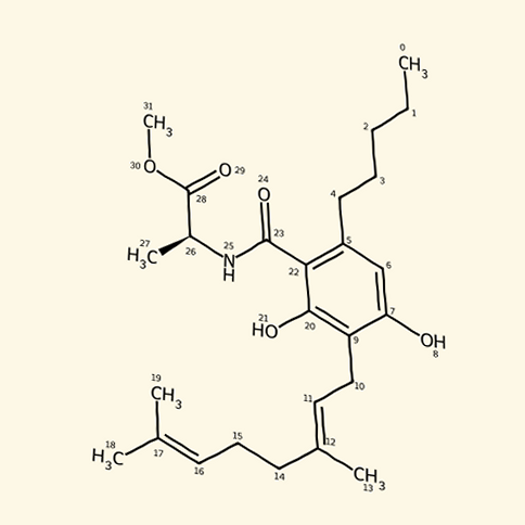 CCCCCc1cc(O)c(C/C=C(\C)CCC=C(C)C)c(O)c1C(=O)N[C@@H](C)C(=O)OC